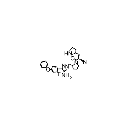 N#CC(=CC1CCCNC1)C(=O)N1CCC[C@H]1Cn1cc(N)c(-c2ccc(Oc3ccccc3)cc2F)n1